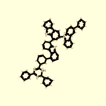 C1=CC(c2cccc3oc4c(c23)C=CCC4c2cc(-n3c4ccccc4c4cc(-c5ccccc5)ccc43)cc3c2oc2ccccc23)CC(C2=NC(c3ccccc3)=NC(c3ccccc3)N2)C1